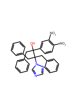 O=[N+]([O-])c1ccc(C(O)(Cc2ccccc2)C(Cc2ccccc2)(Cc2ccccc2)n2cncn2)cc1[N+](=O)[O-]